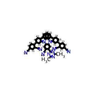 Cc1nc(C)nc(-c2cc(-n3c4ccccc4c4ccc(-c5ccc(C#N)cc5C#N)cc43)c(-n3c4ccccc4c4ccc(-c5ccc(C#N)cc5C#N)cc43)cc2C#N)n1